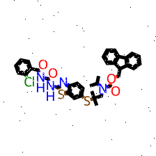 CC(C)N(CC(C)(C)Sc1ccc2nc(NC(=O)NC(=O)c3ccccc3Cl)sc2c1)C(=O)OCC1c2ccccc2-c2ccccc21